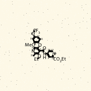 CCOC(=O)c1cc(NC(=O)c2c(Oc3ccc(OC(F)(F)F)cc3OC)cnc(C)c2OCC)ccn1